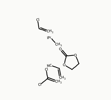 C=C(Cl)Cl.C=CC#N.C=CCl.CC(C)C.O=C1OCCO1